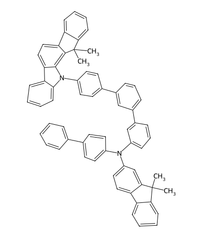 CC1(C)c2ccccc2-c2ccc(N(c3ccc(-c4ccccc4)cc3)c3cccc(-c4cccc(-c5ccc(-n6c7ccccc7c7ccc8c(c76)C(C)(C)c6ccccc6-8)cc5)c4)c3)cc21